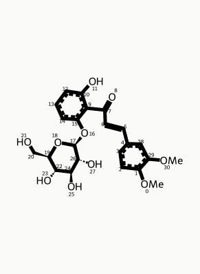 COc1ccc(/C=C/C(=O)c2c(O)cccc2O[C@@H]2O[C@H](CO)[C@@H](O)[C@H](O)[C@H]2O)cc1OC